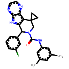 Cc1cc(C)cc(NC(=O)N2CC3(CC3)c3c([nH]c4nccnc34)C2c2cccc(F)c2)c1